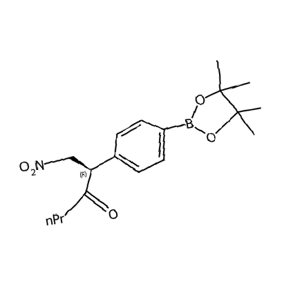 CCCC(=O)[C@@H](C[N+](=O)[O-])c1ccc(B2OC(C)(C)C(C)(C)O2)cc1